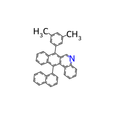 Cc1cc(C)cc(-c2c3ccccc3c(-c3cccc4ccccc34)c3c2cnc2ccccc23)c1